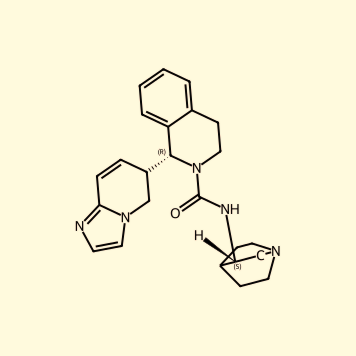 O=C(N[C@@H]1CN2CCC1CC2)N1CCc2ccccc2[C@H]1C1C=Cc2nccn2C1